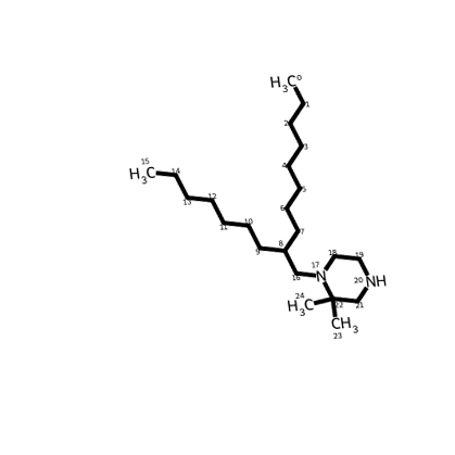 CCCCCCCCC(CCCCCCC)CN1CCNCC1(C)C